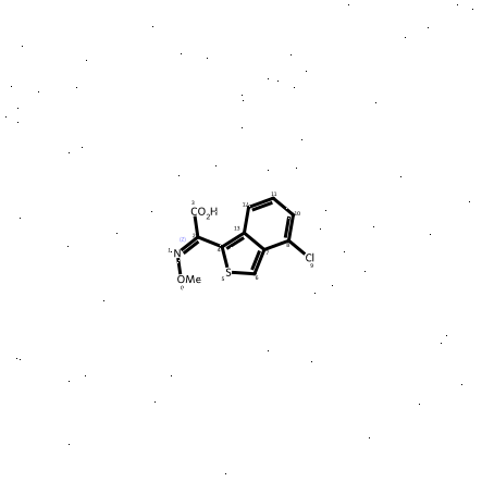 CO/N=C(/C(=O)O)c1scc2c(Cl)cccc12